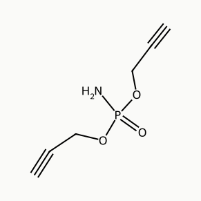 C#CCOP(N)(=O)OCC#C